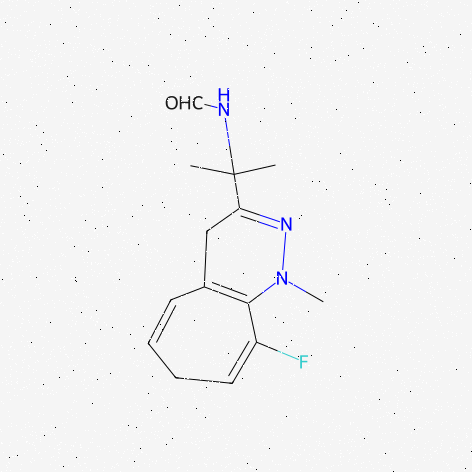 CN1N=C(C(C)(C)NC=O)CC2=C1C(F)=CCC=C2